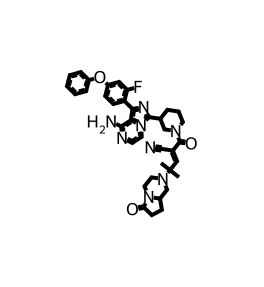 CC(C)(C=C(C#N)C(=O)N1CCCC(c2nc(-c3ccc(Oc4ccccc4)cc3F)c3c(N)nccn23)C1)N1CCN2C(=O)CCC2C1